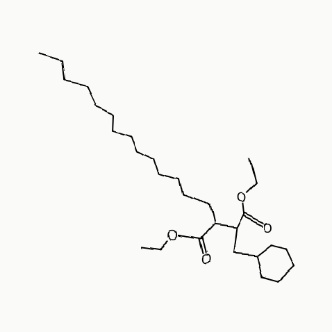 CCCCCCCCCCCCCCC(C(=O)OCC)C(CC1CCCCC1)C(=O)OCC